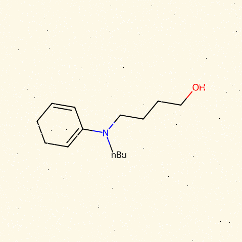 CCCCN(CCCCO)C1=CCCC=C1